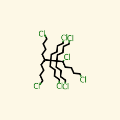 ClCCCC[C](CCCCCl)C(CCCCCl)(CCCCCl)C(CCCCCl)(CCCCCl)C(Cl)CCCCCl